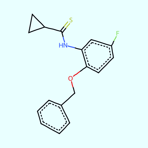 Fc1ccc(OCc2ccccc2)c(NC(=S)C2CC2)c1